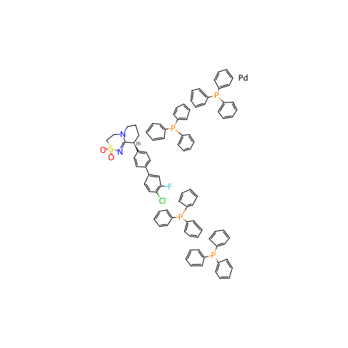 O=S1(=O)CCN2CCC[C@@H](c3ccc(-c4ccc(Cl)c(F)c4)cc3)C2=N1.[Pd].c1ccc(P(c2ccccc2)c2ccccc2)cc1.c1ccc(P(c2ccccc2)c2ccccc2)cc1.c1ccc(P(c2ccccc2)c2ccccc2)cc1.c1ccc(P(c2ccccc2)c2ccccc2)cc1